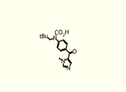 Cn1cncc1C(=O)c1ccc(N(CC(C)(C)C)C(=O)O)cc1